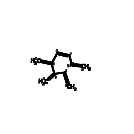 C=CC(=C)C(=C)/C=C\N=C